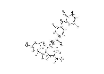 CC(=O)N(C)C([C@H]1CC[C@@H](C2(C)C=C(Cl)C=CC2)N1C(=O)[C@@H](C)NC(=O)c1ccc(Oc2cc(C)n[nH]c2=O)c(C)c1)C(F)(F)F